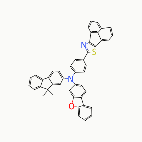 CC1(C)c2ccccc2-c2ccc(N(c3ccc(-c4nc5c(s4)-c4cccc6cccc-5c46)cc3)c3ccc4c(c3)oc3ccccc34)cc21